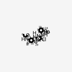 C=CC(=O)Nc1cc(Nc2ncc(Cl)c(Nc3ccccc3P(C)(C)=O)n2)c(OC)cc1F